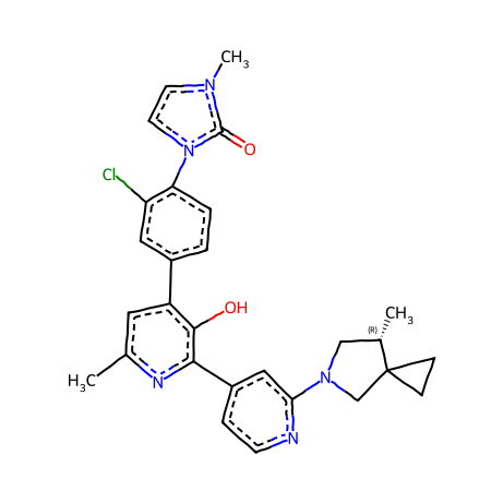 Cc1cc(-c2ccc(-n3ccn(C)c3=O)c(Cl)c2)c(O)c(-c2ccnc(N3C[C@H](C)C4(CC4)C3)c2)n1